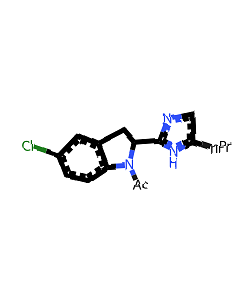 CCCc1cnc(C2Cc3cc(Cl)ccc3N2C(C)=O)[nH]1